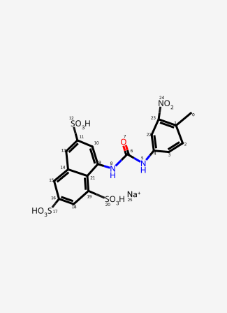 Cc1ccc(NC(=O)Nc2cc(S(=O)(=O)O)cc3cc(S(=O)(=O)O)cc(S(=O)(=O)O)c23)cc1[N+](=O)[O-].[Na+]